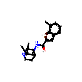 Cc1cccc2cc(C(=O)NC3C4CCN(CC4)C3(C)C)sc12